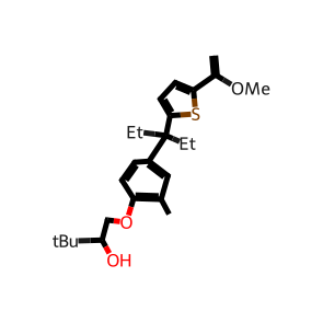 C=C(OC)c1ccc(C(CC)(CC)c2ccc(OCC(O)C(C)(C)C)c(C)c2)s1